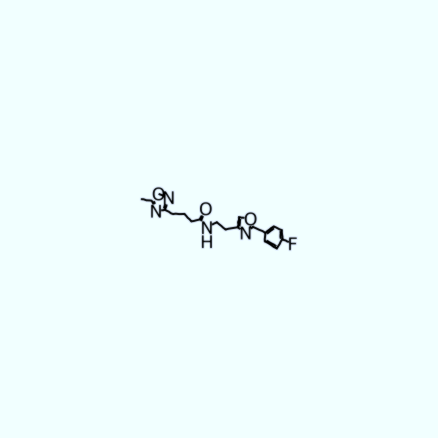 Cc1nc(CCCC(=O)NCCc2coc(-c3ccc(F)cc3)n2)no1